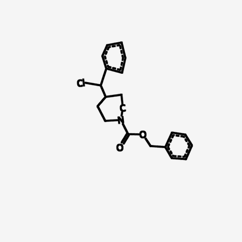 O=C(OCc1ccccc1)N1CCC(C(Cl)c2ccccc2)CC1